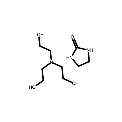 O=C1NCCN1.OCCN(CCO)CCO